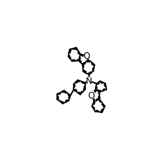 c1ccc(-c2ccc(N(c3ccc4oc5ccccc5c4c3)c3cccc4c3oc3ccccc34)cc2)cc1